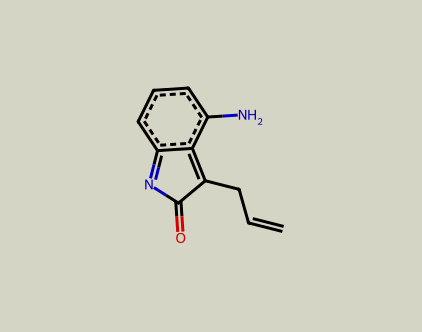 C=CCC1=c2c(N)cccc2=NC1=O